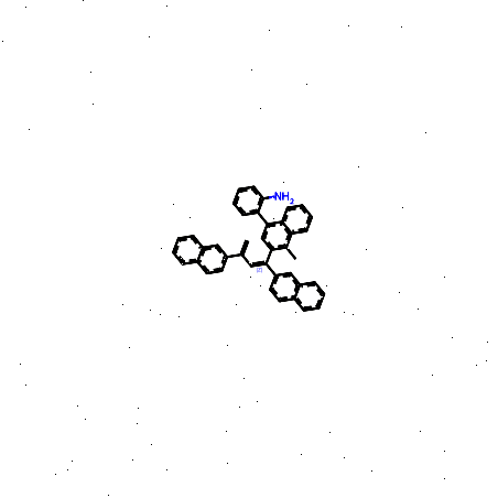 C=C(/C=C(/c1ccc2ccccc2c1)c1cc(-c2ccccc2N)c2ccccc2c1C)c1ccc2ccccc2c1